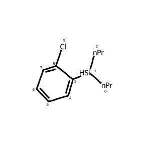 CCC[SiH](CCC)c1ccccc1Cl